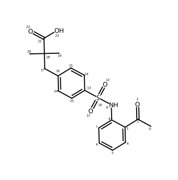 CC(=O)c1ccccc1NS(=O)(=O)c1ccc(CC(C)(C)C(=O)O)cc1